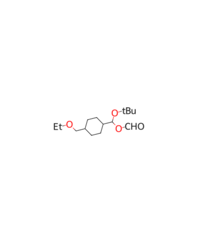 CCOCC1CCC(C(OC=O)OC(C)(C)C)CC1